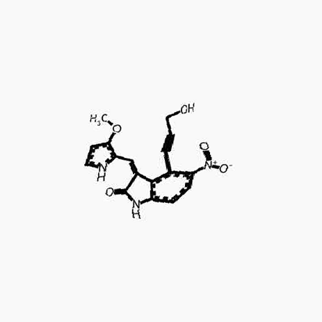 COc1cc[nH]c1/C=C1\C(=O)Nc2ccc([N+](=O)[O-])c(C#CCO)c21